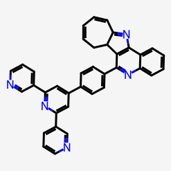 C1=CCC2C(=Nc3c2c(-c2ccc(-c4cc(-c5cccnc5)nc(-c5cccnc5)c4)cc2)nc2ccccc32)C=C1